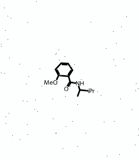 COc1ccccc1C(=O)NC(C)C(C)C